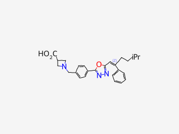 CC(C)CC/C(=C/c1nnc(-c2ccc(CN3CC(C(=O)O)C3)cc2)o1)c1ccccc1